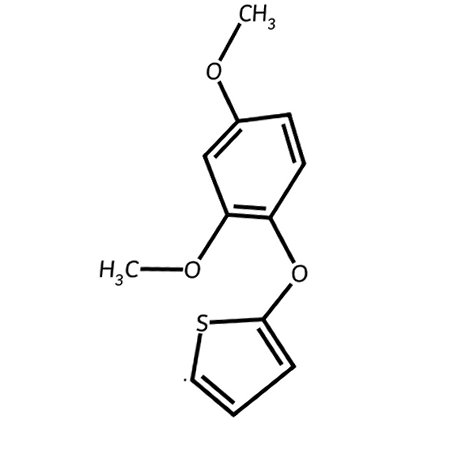 COc1ccc(Oc2cc[c]s2)c(OC)c1